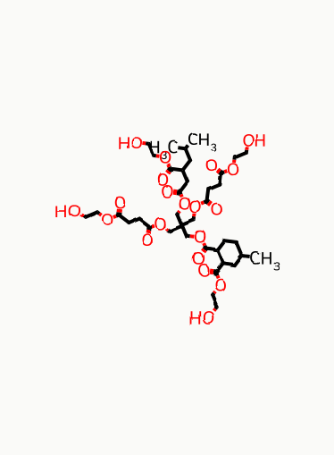 CC(C)CC(CC(=O)OCC(COC(=O)CCC(=O)OCCO)(COC(=O)CCC(=O)OCCO)COC(=O)C1CCC(C)CC1C(=O)OCCO)C(=O)OCCO